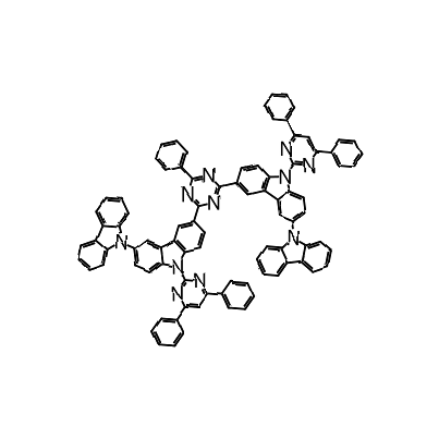 c1ccc(-c2cc(-c3ccccc3)nc(-n3c4ccc(-c5nc(-c6ccccc6)nc(-c6ccc7c(c6)c6cc(-n8c9ccccc9c9ccccc98)ccc6n7-c6nc(-c7ccccc7)cc(-c7ccccc7)n6)n5)cc4c4cc(-n5c6ccccc6c6ccccc65)ccc43)n2)cc1